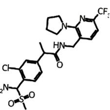 CC(C(=O)NCc1ccc(C(F)(F)F)nc1N1CCCC1)c1ccc(C(N)S(C)(=O)=O)c(Cl)c1